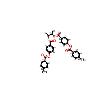 CC(OC(=O)c1ccc(OC(=O)c2ccc(C#N)cc2)cc1)C(C)OC(=O)c1ccc(OC(=O)c2ccc(C#N)cc2)cc1